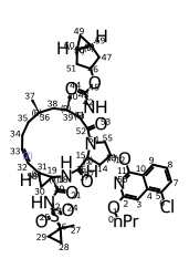 CCCOc1cc2c(Cl)cccc2c(O[C@@H]2C[C@H]3C(=O)N[C@]4(C(=O)NS(=O)(=O)C5(C)CC5)C[C@H]4/C=C\CC[C@@H](C)C[C@@H](C)[C@H](NC(=O)OC4C[C@@H]5C[C@@H]5C4)C(=O)N3C2)n1